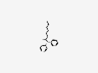 CCCCCCC(C)P(c1ccccc1)c1ccccc1